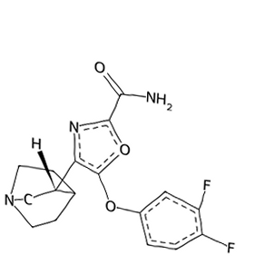 NC(=O)c1nc([C@H]2CN3CCC2CC3)c(Oc2ccc(F)c(F)c2)o1